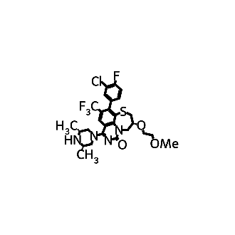 COCCO[C@@H]1CSc2c(-c3ccc(F)c(Cl)c3)c(C(F)(F)F)cc3c(N4C[C@@H](C)N[C@@H](C)C4)nc(=O)n(c23)C1